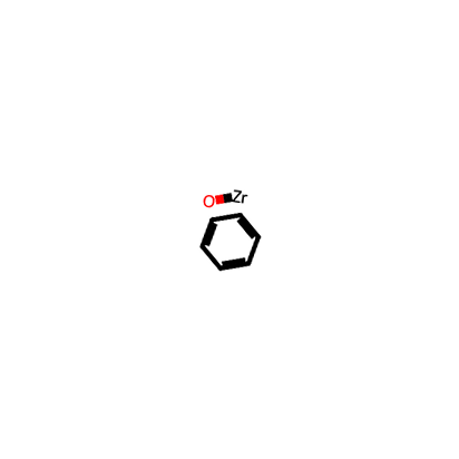 [O]=[Zr].c1ccccc1